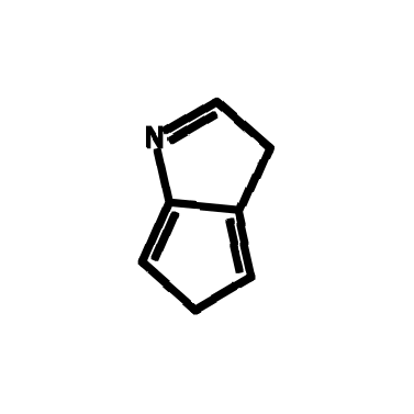 C1=NC2=CCC=C2C1